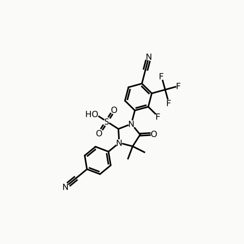 CC1(C)C(=O)N(c2ccc(C#N)c(C(F)(F)F)c2F)C(S(=O)(=O)O)N1c1ccc(C#N)cc1